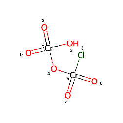 [O]=[Cr](=[O])([OH])[O][Cr](=[O])(=[O])[Cl]